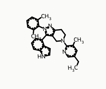 CCc1cnc(N2CCc3nn(-c4c(C)cccc4C)c(-c4cccc5[nH]ccc45)c3C2)c(C)c1